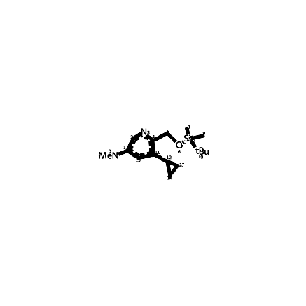 CNc1cnc(CO[Si](C)(C)C(C)(C)C)c(C2CC2)c1